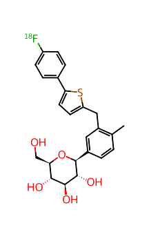 Cc1ccc([C@@H]2O[C@H](CO)[C@@H](O)[C@H](O)[C@H]2O)cc1Cc1ccc(-c2ccc([18F])cc2)s1